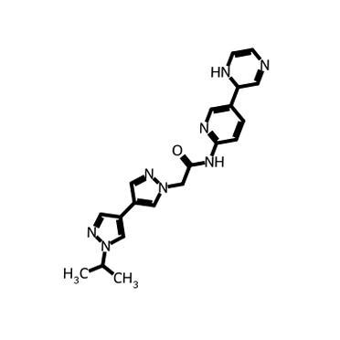 CC(C)n1cc(-c2cnn(CC(=O)Nc3ccc(C4C=NC=CN4)cn3)c2)cn1